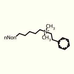 CCCCCCCCCCCCCC[N+](C)(C)CCc1ccccc1